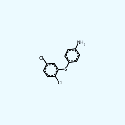 Nc1ccc(Sc2cc(Cl)ccc2Cl)cc1